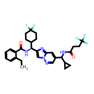 CCc1ccccc1C(=O)N[C@H](c1cn2ncc(C(NC(=O)CCC(F)(F)F)C3CC3)cc2n1)C1CCC(F)(F)CC1